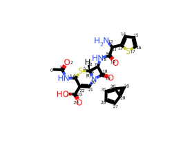 CC(=O)NC1S[C@@H]2C(NC(=O)C(N)c3cccs3)C(=O)N2C=C1C(=O)O.c1cc2cc-2c1